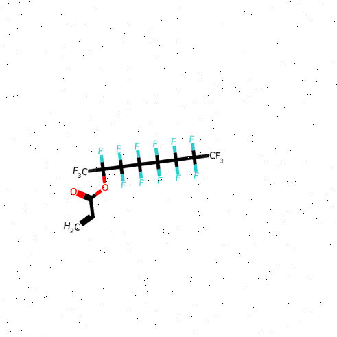 C=CC(=O)OC(F)(C(F)(F)F)C(F)(F)C(F)(F)C(F)(F)C(F)(F)C(F)(F)C(F)(F)F